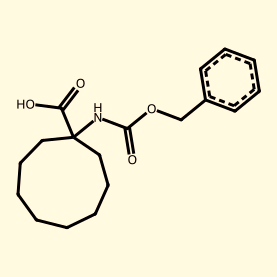 O=C(NC1(C(=O)O)CCCCCCCC1)OCc1ccccc1